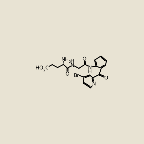 N[C@@H](CCC(=O)O)C(=O)NCC(=O)Nc1ccccc1C(=O)c1cc(Br)ccn1